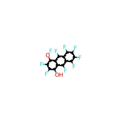 Oc1c(F)c(F)c(OF)c2c(F)c3c(F)c(F)c(F)c(F)c3c(F)c12